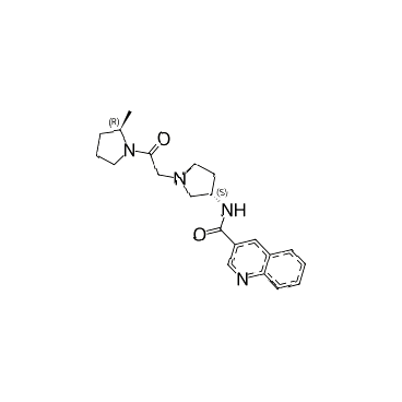 C[C@@H]1CCCN1C(=O)CN1CC[C@H](NC(=O)c2cnc3ccccc3c2)C1